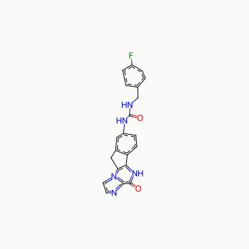 O=C(NCc1ccc(F)cc1)Nc1ccc2c(c1)Cc1c-2[nH]c(=O)c2nccn12